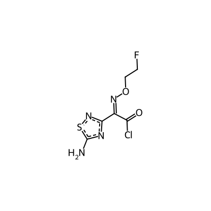 Nc1nc(C(=NOCCF)C(=O)Cl)ns1